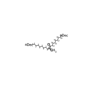 CCCCCCCCCCCCCCCCCCN(C)C(=O)CCCCCCCCCCCCCCCCC